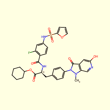 Cn1c2cnc(O)cc2c(=O)n1-c1ccc(C[C@H](NC(=O)c2ccc(NS(=O)(=O)c3ccco3)cc2F)C(=O)OC2CCCCC2)cc1